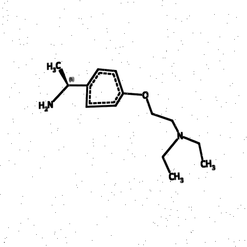 CCN(CC)CCOc1ccc([C@H](C)N)cc1